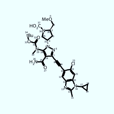 COC[C@H]1C[C@H](n2nc(C#Cc3cc4nc(C)n(C5CC5)c4cc3Cl)c(C(N)=O)c2N(C)C(=O)OC(C)(C)C)CN1C(=O)O